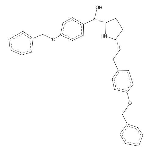 OC(c1ccc(OCc2ccccc2)cc1)[C@@H]1CC[C@H](CCc2ccc(OCc3ccccc3)cc2)N1